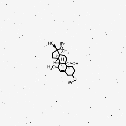 C#CC1(OC(C)C)CC[C@H]2[C@@H]3C(C)C=C4CC(OC(C)C)CC[C@]4(CO)[C@@H]3CC[C@@]21C